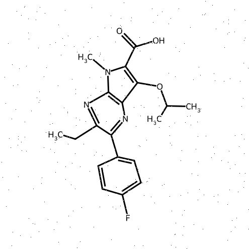 CCc1nc2c(nc1-c1ccc(F)cc1)c(OC(C)C)c(C(=O)O)n2C